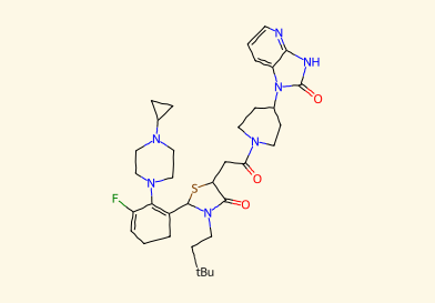 CC(C)(C)CCN1C(=O)C(CC(=O)N2CCC(n3c(=O)[nH]c4ncccc43)CC2)SC1C1=C(N2CCN(C3CC3)CC2)C(F)=CCC1